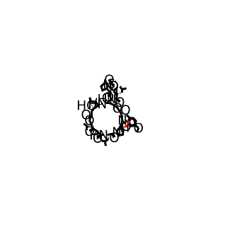 CC[C@H](C)[C@H]1NC(=O)[C@@H](NC(=O)[C@@H](CC(C)C)N(C)C(=O)C2CCCN2S(C)(=O)=O)[C@@H](C)OC(=O)[C@H](Cc2ccc(OC)cc2)N(C)C(=O)[C@@H]2CCCN2C(=O)[C@H](CC(C)C)NC(=O)[C@@H](C)C(=O)[C@H](C(C)C)OC(=O)C[C@@H]1O